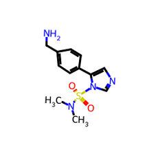 CN(C)S(=O)(=O)n1cncc1-c1ccc(CN)cc1